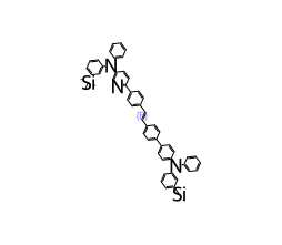 C[Si](C)(C)c1cccc(N(c2ccccc2)c2ccc(-c3ccc(/C=C/c4ccc(-c5ccc(N(c6ccccc6)c6cccc([Si](C)(C)C)c6)cn5)cc4)cc3)cc2)c1